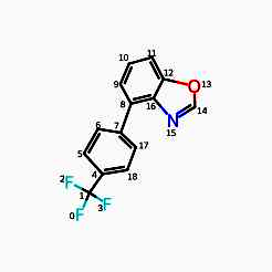 FC(F)(F)c1ccc(-c2cccc3ocnc23)cc1